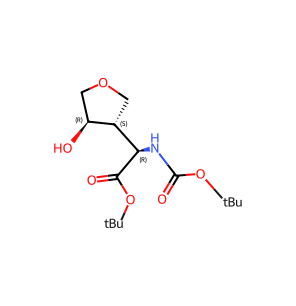 CC(C)(C)OC(=O)N[C@@H](C(=O)OC(C)(C)C)[C@H]1COC[C@@H]1O